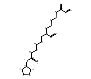 C=CC(=C)CCCCCC(C=C)CCCCCC(=N)OC1CCCC1